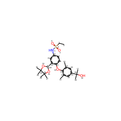 CCS(=O)(=O)Nc1ccc(Oc2c(C)cc(C(C)(C)O)cc2C)c(B2OC(C)(C)C(C)(C)O2)c1